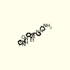 CCc1nn(Cc2cccc(N3CCC(N)CC3)n2)c2cccc(NC(=O)c3cnc4ccccn34)c12